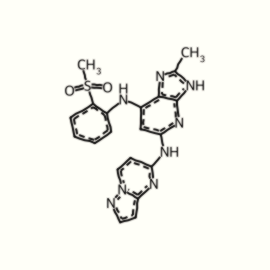 Cc1nc2c(Nc3ccccc3S(C)(=O)=O)cc(Nc3ccn4nccc4n3)nc2[nH]1